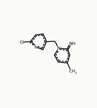 Cc1ccn(Cc2ccc(Cl)nc2)c(=N)c1